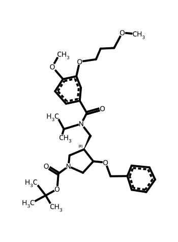 COCCCOc1cc(C(=O)N(C[C@@H]2CN(C(=O)OC(C)(C)C)CC2OCc2ccccc2)C(C)C)ccc1OC